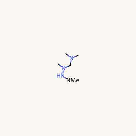 CNNN(C)CN(C)C